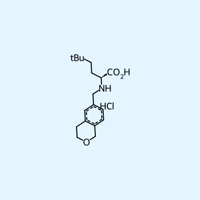 CC(C)(C)CC[C@H](NCc1ccc2c(c1)CCOC2)C(=O)O.Cl